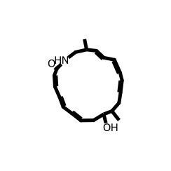 CC1/C=C/C=C\C=C\CC(C)C(O)C\C=C/C=C/C=C\C(=O)NC1